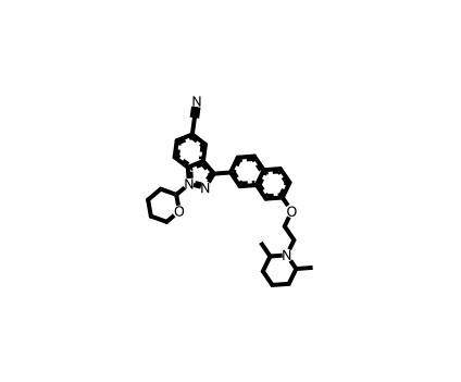 CC1CCCC(C)N1CCOc1ccc2ccc(-c3nn(C4CCCCO4)c4ccc(C#N)cc34)cc2c1